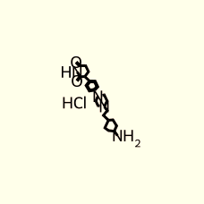 Cl.NC1CCC(CCN2CCN(c3ccc(C4CCC(=O)NC4=O)cc3)CC2)CC1